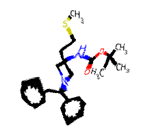 CSCCC1(NC(=O)OC(C)(C)C)CN(C(c2ccccc2)c2ccccc2)C1